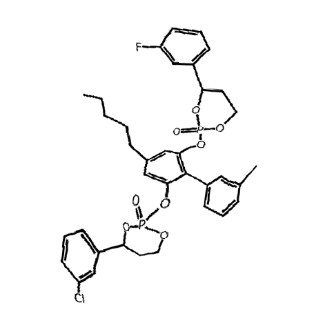 CCCCCc1cc(OP2(=O)OCCC(c3cccc(F)c3)O2)c(-c2cccc(C)c2)c(OP2(=O)OCCC(c3cccc(Cl)c3)O2)c1